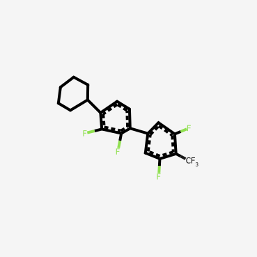 Fc1cc(-c2ccc(C3CCCCC3)c(F)c2F)cc(F)c1C(F)(F)F